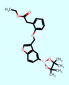 CCOC(=O)Cc1ccccc1OCc1coc2ccc(B3OC(C)(C)C(C)(C)O3)cc12